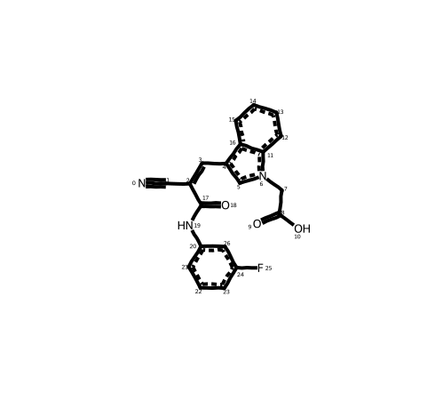 N#CC(=Cc1cn(CC(=O)O)c2ccccc12)C(=O)Nc1cccc(F)c1